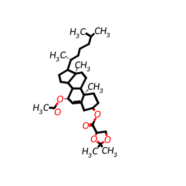 CC(=O)O[C@H]1C=C2CC(OC(=O)C3COC(C)(C)O3)CC[C@]2(C)C2CC[C@@]3(C)C(CCC3[C@H](C)CCCC(C)C)C21